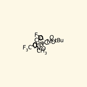 CN(C(=O)N[C@H]1CCN(C(=O)OC(C)(C)C)C[C@H]1c1ccc(F)cc1)c1cc(C(F)(F)F)cc(C(F)(F)F)c1